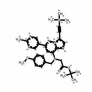 COc1ccc(CN(CC(=O)OC(C)(C)C)c2cc(-c3cnc(N)nc3)nn3c(C#C[Si](C)(C)C)cnc23)cc1